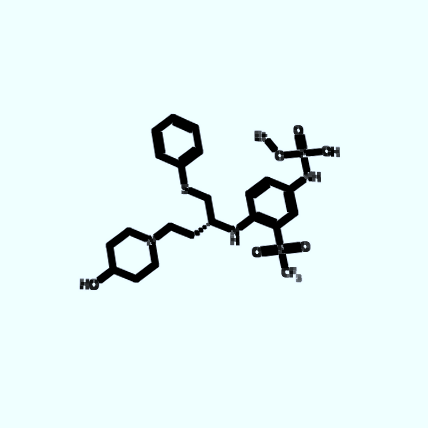 CCOP(=O)(O)Nc1ccc(N[C@H](CCN2CCC(O)CC2)CSc2ccccc2)c(S(=O)(=O)C(F)(F)F)c1